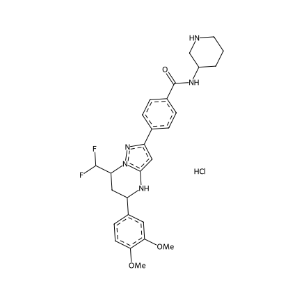 COc1ccc(C2CC(C(F)F)n3nc(-c4ccc(C(=O)NC5CCCNC5)cc4)cc3N2)cc1OC.Cl